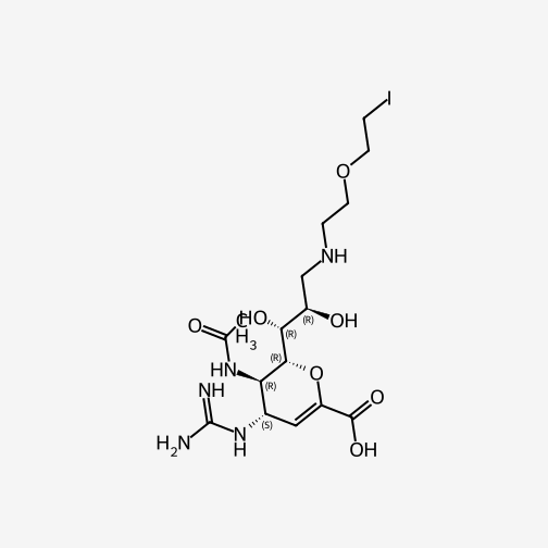 CC(=O)N[C@H]1[C@H]([C@H](O)[C@H](O)CNCCOCCI)OC(C(=O)O)=C[C@@H]1NC(=N)N